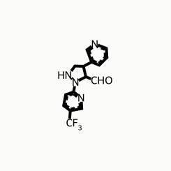 O=CC1C(c2cccnc2)CNN1c1ccc(C(F)(F)F)cn1